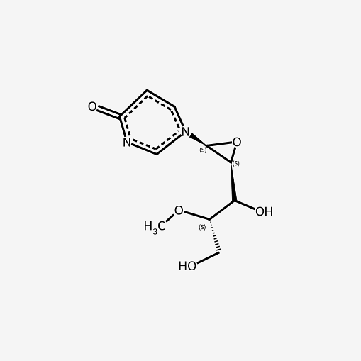 CO[C@@H](CO)C(O)[C@@H]1O[C@@H]1n1ccc(=O)nc1